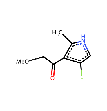 COCC(=O)c1c(F)c[nH]c1C